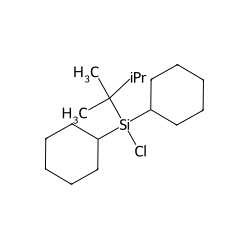 CC(C)C(C)(C)[Si](Cl)(C1CCCCC1)C1CCCCC1